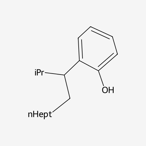 CCCCCCCCC(c1ccccc1O)C(C)C